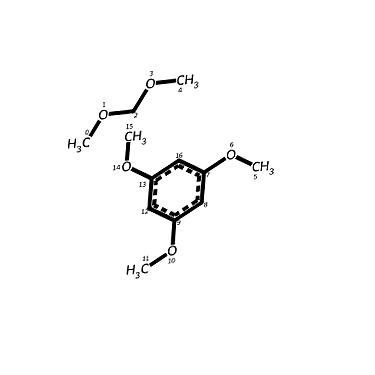 COCOC.COc1cc(OC)cc(OC)c1